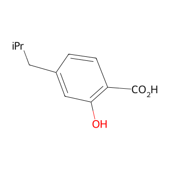 CC(C)Cc1ccc(C(=O)O)c(O)c1